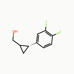 OCC1C[C@H]1c1ccc(F)c(F)c1